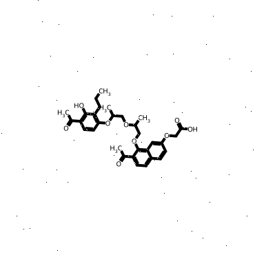 CCCc1c(OC(C)COC(C)COc2c(C(C)=O)ccc3ccc(OCC(=O)O)cc23)ccc(C(C)=O)c1O